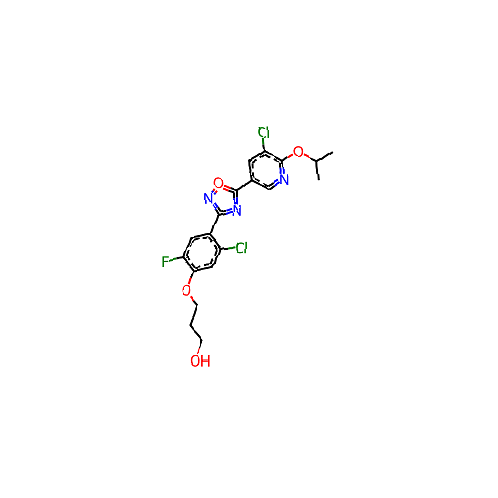 CC(C)Oc1ncc(-c2nc(-c3cc(F)c(OCCCO)cc3Cl)no2)cc1Cl